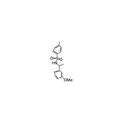 COc1cccc(C(C)NS(=O)(=O)c2ccc(C)cc2)c1